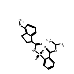 COc1cccc2c1CCC2C(=O)NS(=O)(=O)c1ccccc1C(=O)OC(C)C